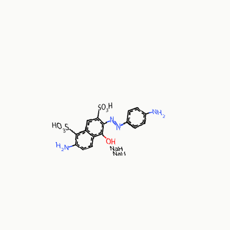 Nc1ccc(N=Nc2c(S(=O)(=O)O)cc3c(S(=O)(=O)O)c(N)ccc3c2O)cc1.[NaH].[NaH]